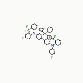 Fc1ccc(N(c2ccc3c(c2)C2(c4ccccc4-c4ccccc42)c2cccc4c(N(c5ccc(F)cc5)c5ccccc5C(F)(F)F)ccc-3c24)c2ccccc2C(F)(F)F)cc1